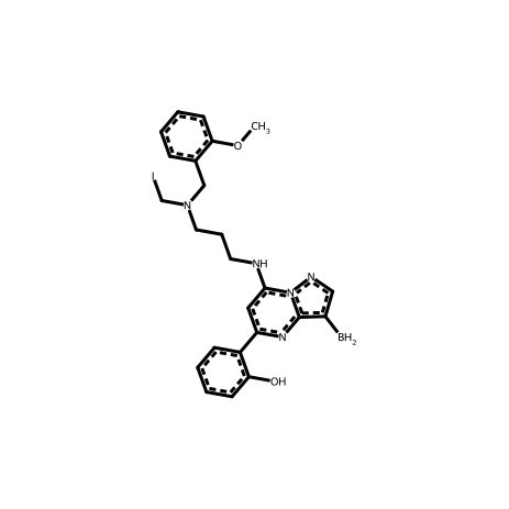 Bc1cnn2c(NCCCN(CI)Cc3ccccc3OC)cc(-c3ccccc3O)nc12